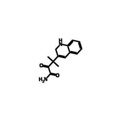 CC(C)(C(=O)C(N)=O)C1=Cc2ccccc2NC1